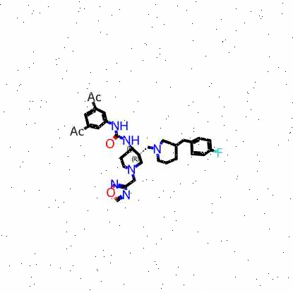 CC(=O)c1cc(NC(=O)N[C@@H]2CCN(Cc3ncon3)C[C@H]2CN2CCCC(Cc3ccc(F)cc3)C2)cc(C(C)=O)c1